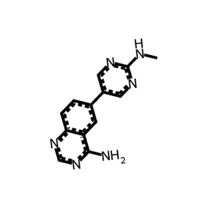 CNc1ncc(-c2ccc3ncnc(N)c3c2)cn1